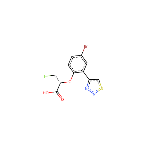 O=C(O)[C@H](CF)Oc1ccc(Br)cc1-c1csnn1